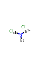 CC[N]([Ti+2])CC.[Cl-].[Cl-]